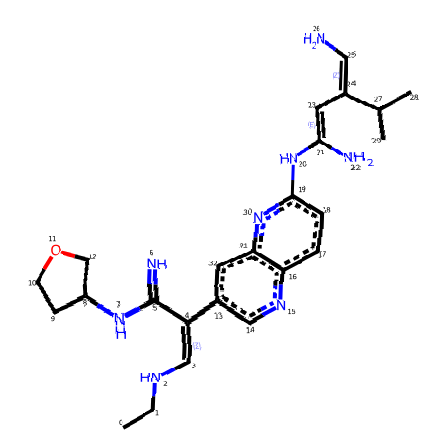 CCN/C=C(\C(=N)NC1CCOC1)c1cnc2ccc(N/C(N)=C/C(=C\N)C(C)C)nc2c1